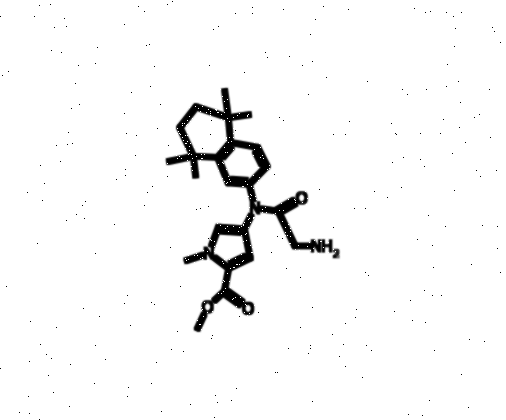 COC(=O)c1cc(N(C(=O)CN)c2ccc3c(c2)C(C)(C)CCC3(C)C)cn1C